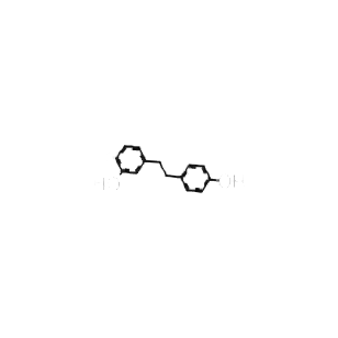 Oc1ccc(CCc2cccc(O)c2)cc1